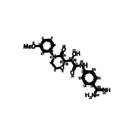 COc1cccc(N2CCO[C@H]([C@@H](O)C(=O)Nc3ccc(C(=N)N)cc3)C2=O)c1